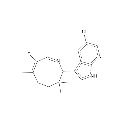 C/C1=C(F)/C=N\C(c2c[nH]c3ncc(Cl)cc23)C(C)(C)CC1